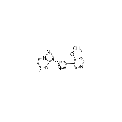 COc1ccncc1-c1cnn(-c2cnn3ccc(I)nc23)c1